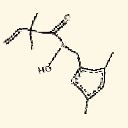 C=CC(C)(C)C(=O)N(O)Cc1sc(C)cc1C